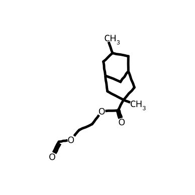 CC1CC2CC(C1)CC(C)(C(=O)OCCOC=O)C2